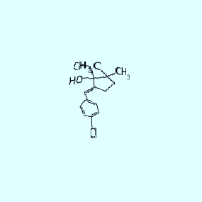 CC1(C)CC/C(=C\c2ccc(Cl)cc2)C1(O)CCl